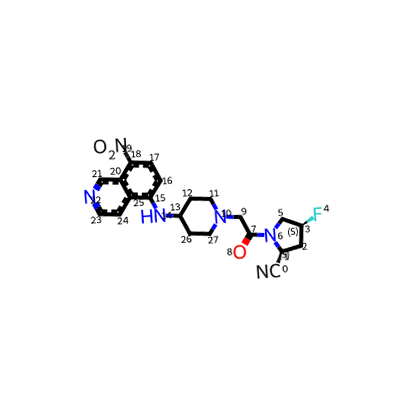 N#C[C@@H]1C[C@H](F)CN1C(=O)CN1CCC(Nc2ccc([N+](=O)[O-])c3cnccc23)CC1